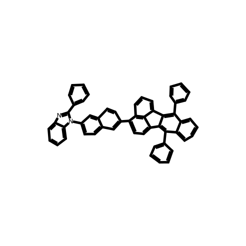 c1ccc(-c2c3c(c(-c4ccccc4)c4ccccc24)-c2ccc(-c4ccc5cc(-n6c(-c7ccccc7)nc7ccccc76)ccc5c4)c4cccc-3c24)cc1